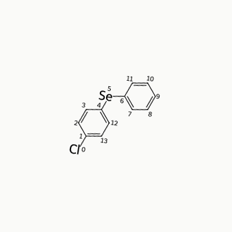 Clc1ccc([Se]c2ccccc2)cc1